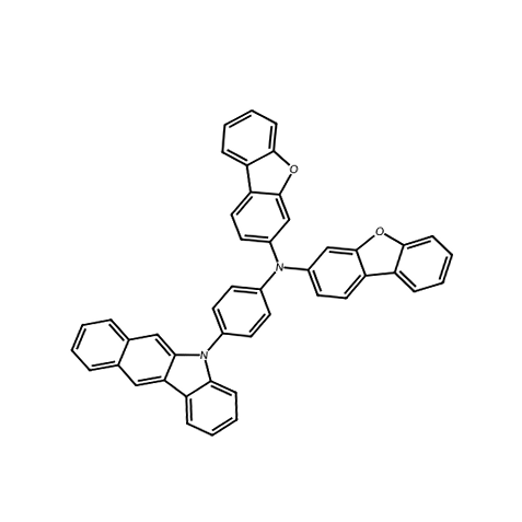 c1ccc2cc3c(cc2c1)c1ccccc1n3-c1ccc(N(c2ccc3c(c2)oc2ccccc23)c2ccc3c(c2)oc2ccccc23)cc1